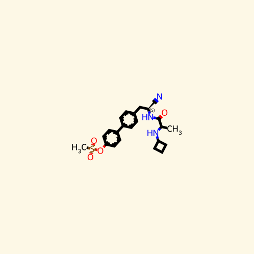 CC(NC1CCC1)C(=O)N[C@H](C#N)Cc1ccc(-c2ccc(OS(C)(=O)=O)cc2)cc1